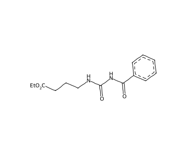 CCOC(=O)CCCNC(=O)NC(=O)c1ccccc1